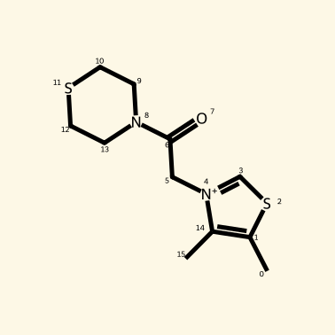 Cc1sc[n+](CC(=O)N2CCSCC2)c1C